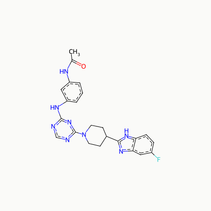 CC(=O)Nc1cccc(Nc2ncnc(N3CCC(c4nc5cc(F)ccc5[nH]4)CC3)n2)c1